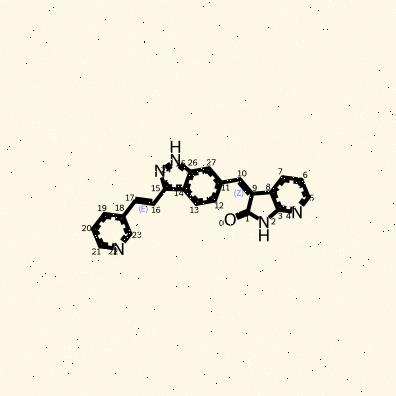 O=C1Nc2ncccc2/C1=C/c1ccc2c(/C=C/c3cccnc3)n[nH]c2c1